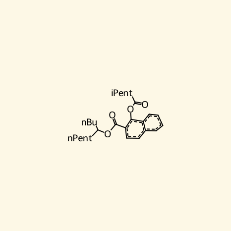 CCCCCC(CCCC)OC(=O)c1ccc2ccccc2c1OC(=O)C(C)CCC